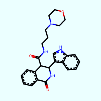 O=C1NC(c2c[nH]c3ccccc23)C(C(=O)NCCCN2CCOCC2)c2ccccc21